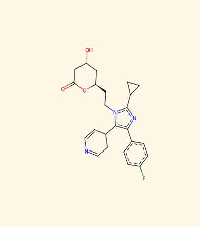 O=C1C[C@H](O)C[C@@H](CCn2c(C3CC3)nc(-c3ccc(F)cc3)c2C2C=CN=CC2)O1